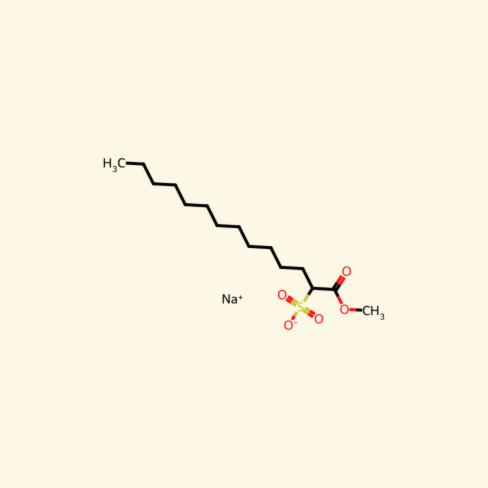 CCCCCCCCCCCCC(C(=O)OC)S(=O)(=O)[O-].[Na+]